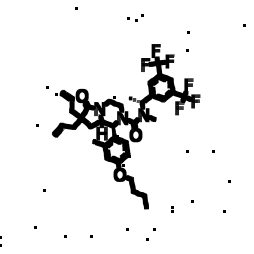 C=CCC1(CC=C)C[C@H]2[C@H](c3ccc(OCCCC)cc3C)N(C(=O)N(C)[C@H](C)c3cc(C(F)(F)F)cc(C(F)(F)F)c3)CCN2C1=O